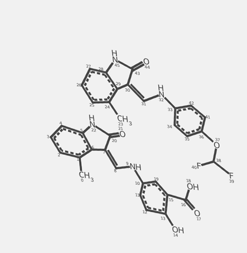 Cc1cccc2c1/C(=C/Nc1ccc(O)c(C(=O)O)c1)C(=O)N2.Cc1cccc2c1/C(=C/Nc1ccc(OC(F)F)cc1)C(=O)N2